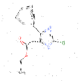 CCOC(=O)c1[nH]c(Cl)nc1-c1ccccc1